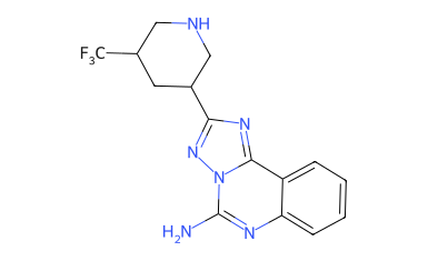 Nc1nc2ccccc2c2nc(C3CNCC(C(F)(F)F)C3)nn12